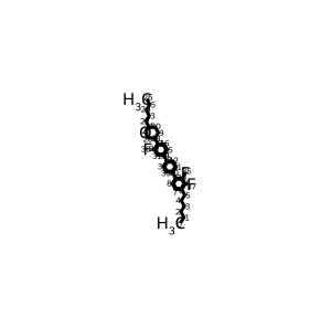 CCCCCCc1ccc(-c2ccc(-c3ccc(C4CCC(CCCCC)OC4)c(F)c3)cc2)c(F)c1F